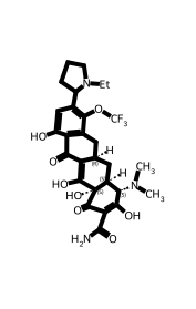 CCN1CCCC1c1cc(O)c2c(c1OC(F)(F)F)C[C@H]1C[C@H]3[C@H](N(C)C)C(O)=C(C(N)=O)C(=O)[C@@]3(O)C(O)=C1C2=O